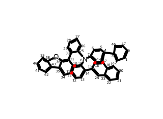 c1ccc(-c2ccc(N(c3ccccc3-c3ccc4ccccc4c3)c3ccccc3-c3cccc4c3oc3ccccc34)cc2)cc1